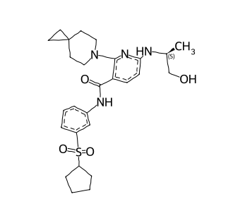 C[C@@H](CO)Nc1ccc(C(=O)Nc2cccc(S(=O)(=O)C3CCCC3)c2)c(N2CCC3(CC2)CC3)n1